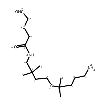 CC(C)(CCOC(C)(C)CCCN)CNC(=O)COCC=O